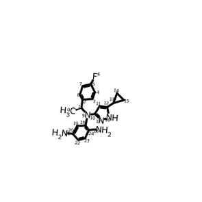 C[C@@H](c1ccc(F)cc1)N(c1cc(C2CC2)[nH]n1)c1cc(N)ccc1N